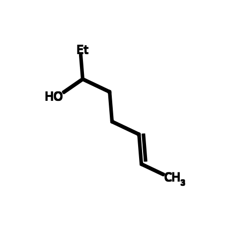 C/C=C/CCC(O)CC